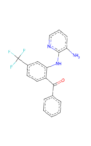 Nc1cccnc1Nc1cc(C(F)(F)F)ccc1C(=O)c1ccccc1